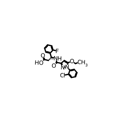 CCOc1cc(C(=O)N[C@@H](CC(=O)O)c2ccccc2F)nn1-c1ccccc1Cl